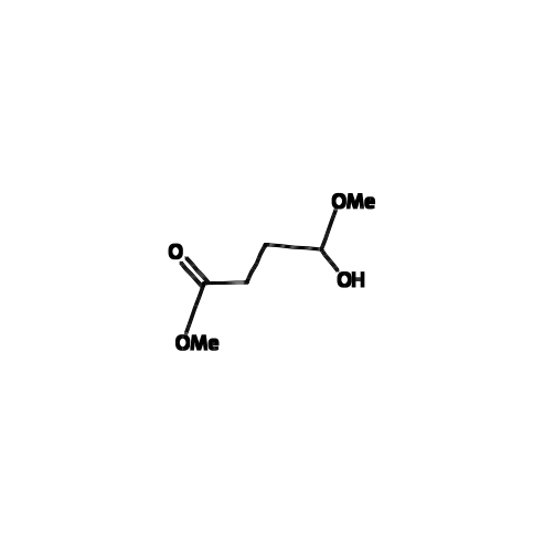 COC(=O)CCC(O)OC